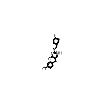 O=c1nc(SCc2ccc(F)cc2)[nH]cc1Cc1ccc(Cl)cc1